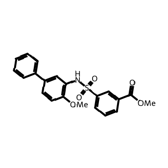 COC(=O)c1cccc(S(=O)(=O)Nc2cc(-c3ccccc3)ccc2OC)c1